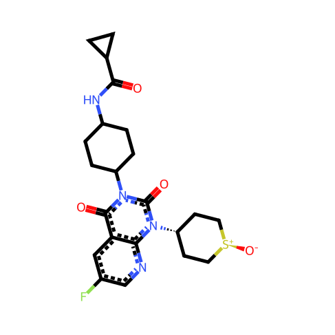 O=C(NC1CCC(n2c(=O)c3cc(F)cnc3n([C@H]3CC[S@+]([O-])CC3)c2=O)CC1)C1CC1